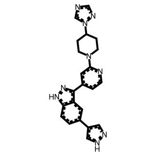 c1cc(-c2n[nH]c3ccc(-c4cn[nH]c4)cc23)cc(N2CCC(n3cncn3)CC2)n1